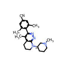 Cc1cc(C#N)cc(C)c1-c1nnc2c(c1C)CCCN2[C@@H]1CCCN(C)C1